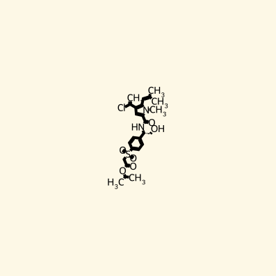 C=C(Cl)c1cc(C(=O)N[C@H](CO)c2ccc(S(=O)(=O)CC(=O)OC(C)C)cc2)n(C)c1C=C(C)C